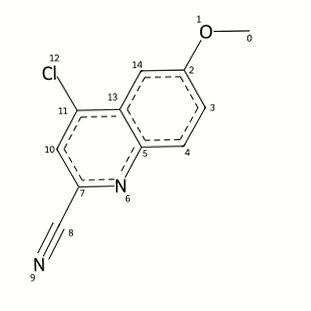 COc1ccc2nc(C#N)cc(Cl)c2c1